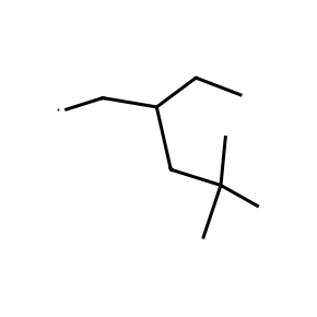 [CH2]CC(CC)CC(C)(C)C